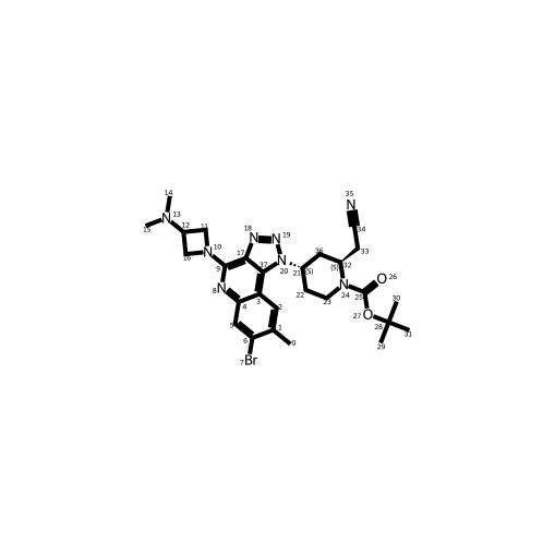 Cc1cc2c(cc1Br)nc(N1CC(N(C)C)C1)c1nnn([C@H]3CCN(C(=O)OC(C)(C)C)[C@H](CC#N)C3)c12